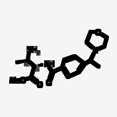 COC(=O)[C@@H](NC(=O)c1ccc(C(C)N2CCOCC2)cc1)[C@@H](C)N